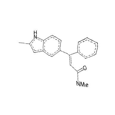 CNC(=O)C=C(c1ccccc1)c1ccc2[nH]c(C)cc2c1